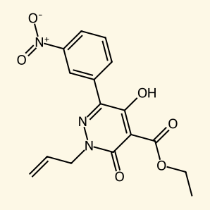 C=CCn1nc(-c2cccc([N+](=O)[O-])c2)c(O)c(C(=O)OCC)c1=O